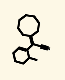 CC1CCCC=C1C(C#N)=C1CCCCCCC1